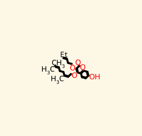 CCC=CCCOc1c(OCC=C(C)CCC=C(C)C)c2ccc(O)cc2oc1=O